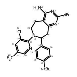 CC(C)c1nc(N)c2c(n1)CC(c1ccc(C(C)(C)C)cc1)N(c1ncc(C(F)(F)F)cc1Cl)CC2